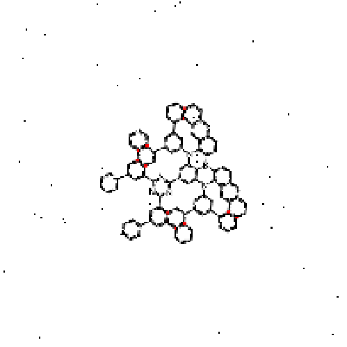 c1ccc(-c2cc(-c3ccccc3)cc(-c3nc(-c4cc(-c5ccccc5)cc(-c5ccccc5)c4)nc(-c4cc5c6c(c4)N(c4cc(-c7ccccc7)cc(-c7ccccc7)c4)c4c(ccc7cc8ccccc8cc47)B6c4ccc6cc7ccccc7cc6c4N5c4cc(-c5ccccc5)cc(-c5ccccc5)c4)n3)c2)cc1